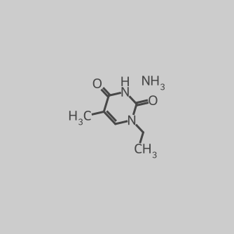 CCn1cc(C)c(=O)[nH]c1=O.N